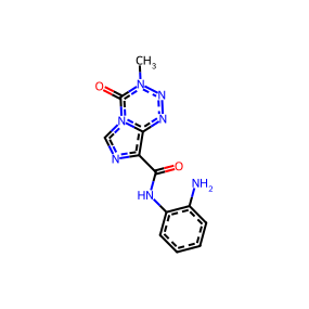 Cn1nnc2c(C(=O)Nc3ccccc3N)ncn2c1=O